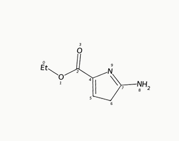 CCOC(=O)C1=CCC(N)=N1